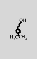 CC(C)c1ccc(CC=CCO)cc1